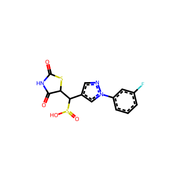 O=C1NC(=O)C(C(c2cnn(-c3cccc(F)c3)c2)S(=O)O)S1